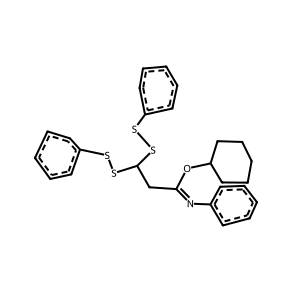 c1ccc(/N=C(/CC(SSc2ccccc2)SSc2ccccc2)OC2CCCCC2)cc1